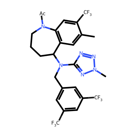 CC(=O)N1CCCC(N(Cc2cc(C(F)(F)F)cc(C(F)(F)F)c2)c2nnn(C)n2)c2cc(C)c(C(F)(F)F)cc21